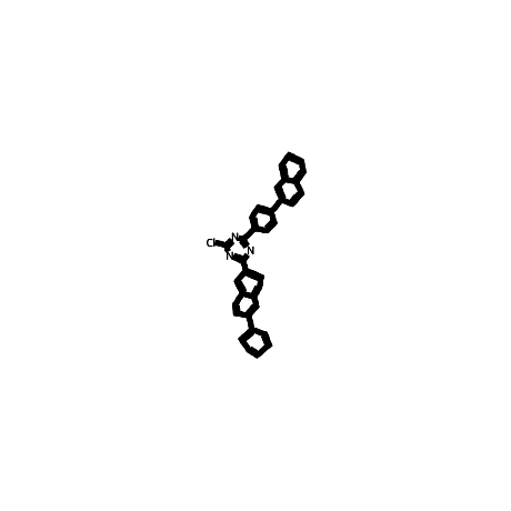 Clc1nc(-c2ccc(-c3ccc4ccccc4c3)cc2)nc(-c2ccc3cc(-c4ccccc4)ccc3c2)n1